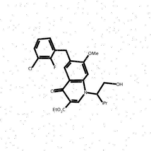 CCOC(=O)c1cn(C(CO)C(C)C)c2cc(OC)c(Cc3cccc(Cl)c3F)cc2c1=O